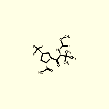 COC(=O)N[C@H](C(=O)N1C[C@H](C(F)(F)F)C[C@H]1C(=O)O)C(C)(C)C